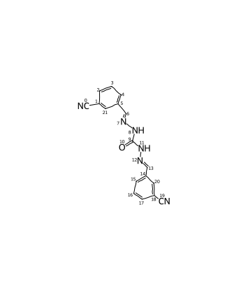 N#Cc1cccc(C=NNC(=O)NN=Cc2cccc(C#N)c2)c1